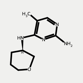 Cc1cnc(N)nc1N[C@@H]1CCCOC1